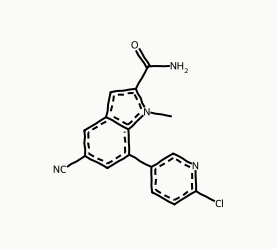 Cn1c(C(N)=O)cc2cc(C#N)cc(-c3ccc(Cl)nc3)c21